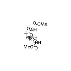 COC(=O)CCNC(=O)[C@@H]1OP(=O)(N[C@H]2CN[C@@H](C(=O)OC)C2)OCC1(C)C